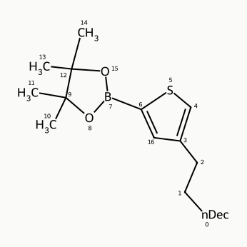 CCCCCCCCCCCCc1csc(B2OC(C)(C)C(C)(C)O2)c1